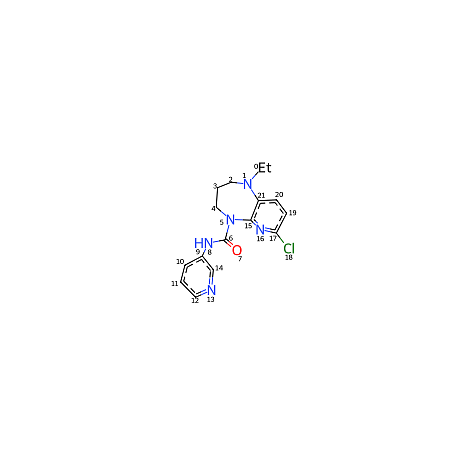 CCN1CCCN(C(=O)Nc2cccnc2)c2nc(Cl)ccc21